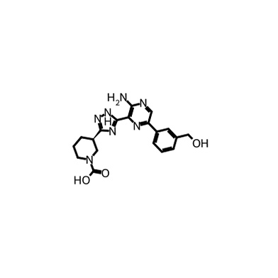 Nc1ncc(-c2cccc(CO)c2)nc1-c1nc([C@@H]2CCCN(C(=O)O)C2)n[nH]1